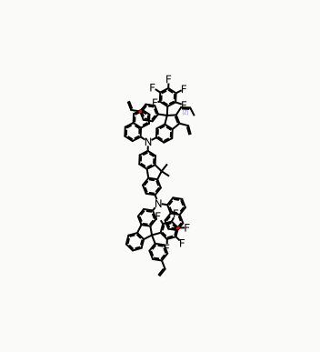 C=CC1=C(/C=C\C)C(c2ccc(C=C)cc2)(c2c(F)c(F)c(F)c(F)c2F)c2cc(N(c3ccc4c(c3)C(C)(C)c3cc(N(c5ccc6c(c5)C(c5ccc(C=C)cc5)(c5c(F)c(F)c(F)c(F)c5F)c5ccccc5-6)c5cccc6ccccc56)ccc3-4)c3cccc4ccccc34)ccc21